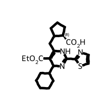 CCOC(=O)C1=C(CC2CCC[C@H]2C(=O)O)NC(c2nccs2)=NC1C1CCCCC1